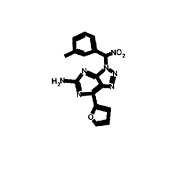 Cc1cccc(C(n2nnc3c(-c4ccco4)nc(N)nc32)[N+](=O)[O-])c1